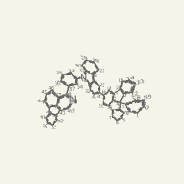 c1ccc(C2(c3ccccc3)c3ccccc3-c3cc(-c4ccc5c(c4)c4ccccc4n5-c4cccc(-c5ncc6c7c(cccc57)-c5ccccc5-6)c4)ccc32)cc1